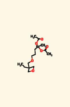 CCC1(COCCC[Si](C)(OC(C)=O)OC(C)=O)COC1